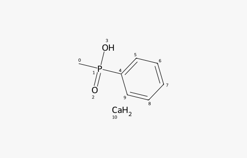 CP(=O)(O)c1ccccc1.[CaH2]